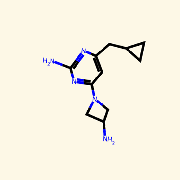 Nc1nc(CC2CC2)cc(N2CC(N)C2)n1